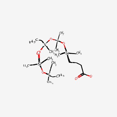 C[Si](C)(C)O[Si](C)(C)O[Si](C)(C)O[Si](C)(C)O[Si](C)(C)CCC([O])=O